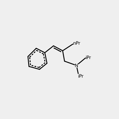 CCCC(=Cc1ccccc1)CN(C(C)C)C(C)C